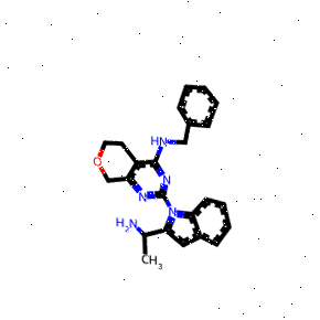 CC(N)c1cc2ccccc2n1-c1nc2c(c(NCc3ccccc3)n1)CCOC2